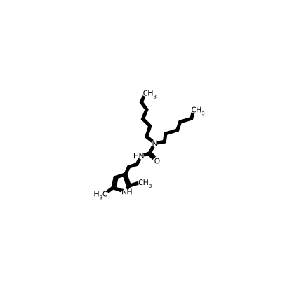 CCCCCCN(CCCCCC)C(=O)NCCc1cc(C)[nH]c1C